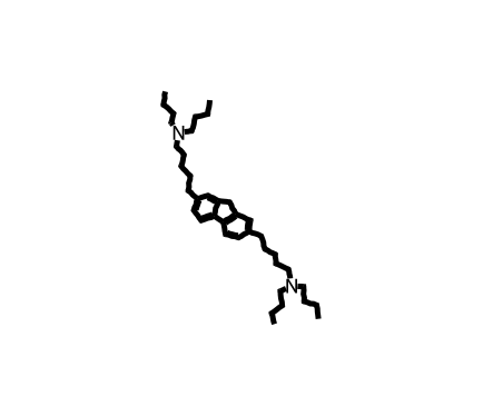 CCCCN(CCCC)CCCCCc1ccc2c(c1)Cc1cc(CCCCCN(CCCC)CCCC)ccc1-2